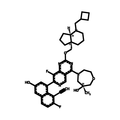 C#Cc1c(F)ccc2cc(O)cc(-c3ncc4c(N5CCOC[C@@](C)(O)C5)nc(OC[C@]56CCC[C@H]5N(CC5CCC5)CCC6)nc4c3F)c12